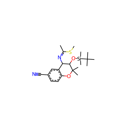 CSC(C)=NC1c2cc(C#N)ccc2OC(C)(C)C1O[Si](C)(C)C(C)(C)C